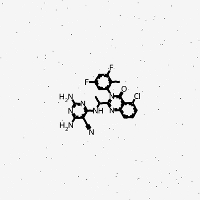 Cc1c(F)cc(F)cc1-n1c(C(C)Nc2nc(N)nc(N)c2C#N)nc2cccc(Cl)c2c1=O